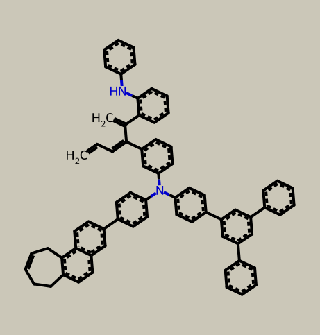 C=C/C=C(\C(=C)c1ccccc1Nc1ccccc1)c1cccc(N(c2ccc(-c3cc(-c4ccccc4)cc(-c4ccccc4)c3)cc2)c2ccc(-c3ccc4c5c(ccc4c3)CCC=CC5)cc2)c1